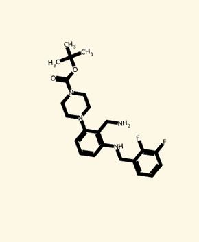 CC(C)(C)OC(=O)N1CCN(c2cccc(NCc3cccc(F)c3F)c2CN)CC1